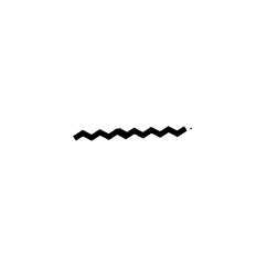 [CH2]CCCCCC/C=C/CCCCC